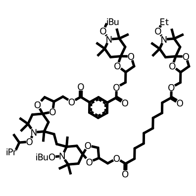 CCON1C(C)(C)CC2(CC1(C)C)OCC(COC(=O)CCCCCCCCC(=O)OCC1COC3(CC(C)(C)N(OCC(C)C)C(C)(CCC4(C)CC5(CC(C)(C)N4OC(C)C(C)C)OCC(COC(=O)c4cccc(C(=O)OCC6COC7(CC(C)(C)N(OC(C)CC)C(C)(C)C7)O6)c4)O5)C3)O1)O2